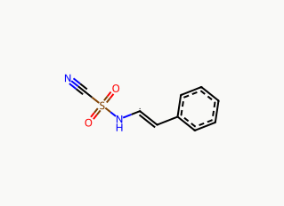 N#CS(=O)(=O)N/[C]=C/c1ccccc1